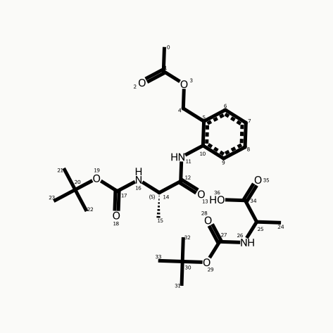 CC(=O)OCc1ccccc1NC(=O)[C@H](C)NC(=O)OC(C)(C)C.CC(NC(=O)OC(C)(C)C)C(=O)O